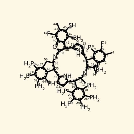 Bc1cc(C)c(F)c(P)c1-c1c(C(=C)C)nc(C)c(-c2c(P)c(P)c(P)c(P)c2P)c2ccc([nH]2)c2c(nc3oc4c(F)c(C)c(S)c(B)c4c3c3ccc1[nH]3)Cc1c(P)c(B)c(P)c(P)c1-2